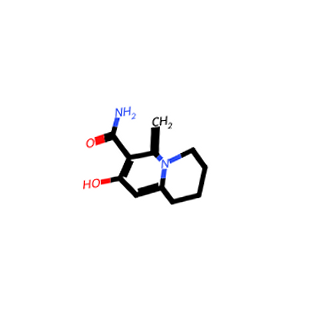 C=C1C(C(N)=O)=C(O)C=C2CCCCN12